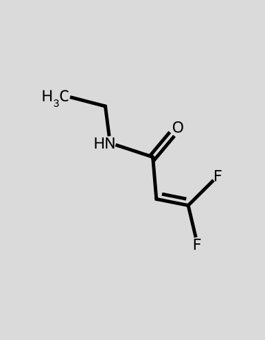 CCNC(=O)C=C(F)F